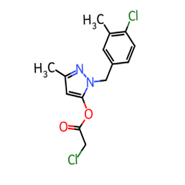 Cc1cc(OC(=O)CCl)n(Cc2ccc(Cl)c(C)c2)n1